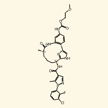 COCCOC(=O)Nc1ccc2c(c1)NC(=O)[C@H](C)CCC[C@H](NC(=O)c1cnn(-c3cccc(Cl)c3F)c1C)c1nc-2c[nH]1